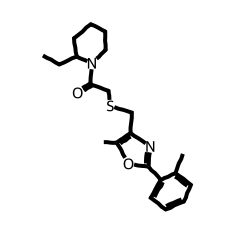 CCC1CCCCN1C(=O)CSCc1nc(-c2ccccc2C)oc1C